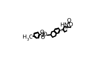 Cc1ccc(S(=O)(=O)OCC2CCc3cc([C@@H]4CC[C@]5(COC(=O)N5)C4)ccc3C2)cc1